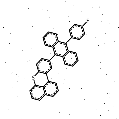 Fc1ccc(-c2c3ccccc3c(-c3ccc4c(c3)-c3cccc5cccc(c35)S4)c3ccccc23)cc1